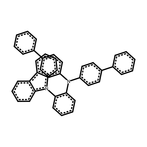 c1ccc(-c2ccc(N(c3ccc(-c4ccccc4)cc3)c3ccccc3-n3c4ccccc4c4ccccc43)cc2)cc1